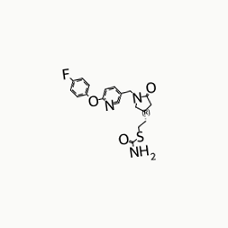 NC(=O)SCC[C@H]1CC(=O)N(Cc2ccc(Oc3ccc(F)cc3)nc2)C1